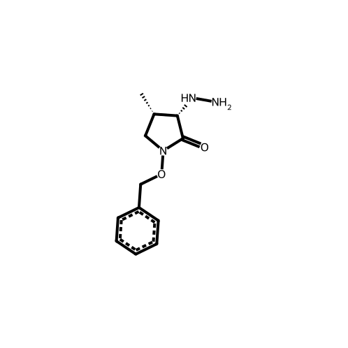 C[C@H]1CN(OCc2ccccc2)C(=O)[C@H]1NN